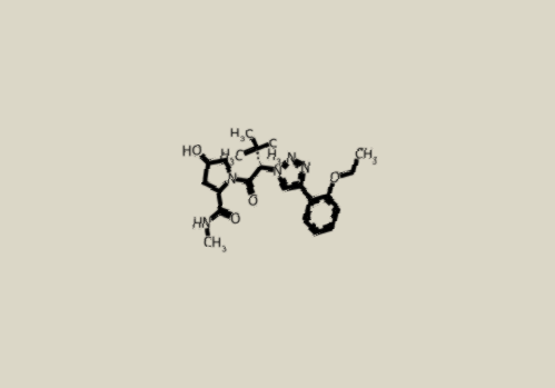 CCOc1ccccc1-c1cn([C@H](C(=O)N2CC(O)CC2C(=O)NC)C(C)(C)C)nn1